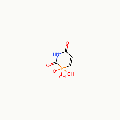 O=C1C=CP(O)(O)(O)C(=O)N1